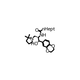 CCCCCCCC(=O)N[C@H](CN1CCCC1(C)C)[C@H](O)c1ccc2c(c1)OCCO2